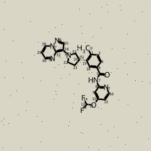 Cc1ccc(C(=O)Nc2cc(OC(F)F)ccn2)cc1[C@@H]1CCN(c2cnn3cccnc23)C1